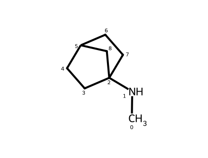 CNC12CCC(CC1)C2